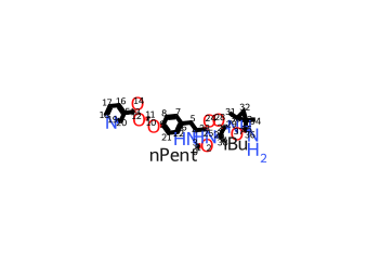 CCCCCC(=O)NC(Cc1ccc(OCOC(=O)c2cccnc2)cc1)C(=O)NC(C(=O)NC1(C)CC1(C)C(N)=O)C(C)CC